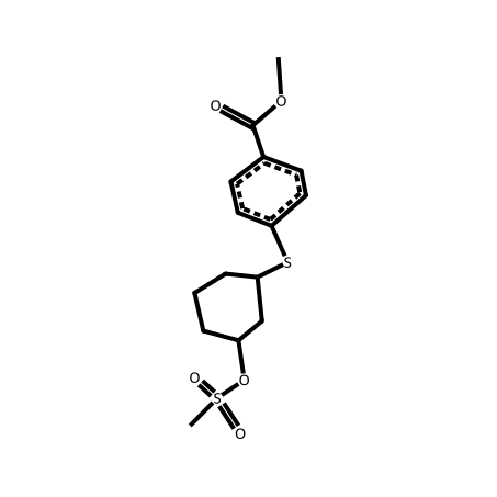 COC(=O)c1ccc(SC2CCCC(OS(C)(=O)=O)C2)cc1